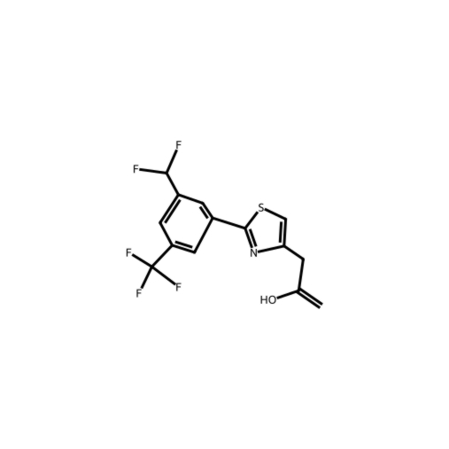 C=C(O)Cc1csc(-c2cc(C(F)F)cc(C(F)(F)F)c2)n1